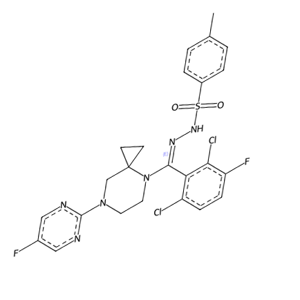 Cc1ccc(S(=O)(=O)N/N=C(\c2c(Cl)ccc(F)c2Cl)N2CCN(c3ncc(F)cn3)CC23CC3)cc1